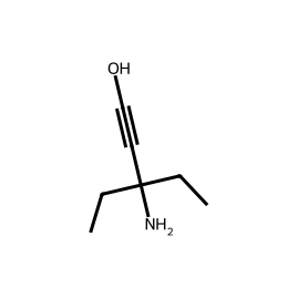 CCC(N)(C#CO)CC